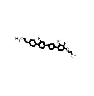 C/C=C/C1CCC(c2ccc(-c3ccc(-c4ccc(OCCC)c(F)c4F)cc3)cc2F)CC1